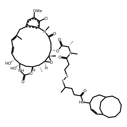 COc1cc2cc(c1Cl)N(C)C(=O)C[C@H](OC(=O)[C@H](C)N(C)C(=O)CCSSC(C)CCC(=O)NC1/C=C\C3CCCCCCC(CC3)CC1)[C@]1(C)O[C@H]1[C@H](C)[C@@H]1C[C@@](O)(NC(=O)O1)[C@H](O)/C=C/C=C(\C)C2